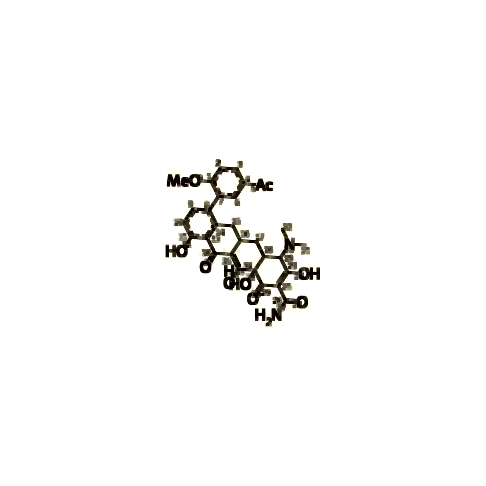 COc1ccc(C(C)=O)cc1-c1ccc(O)c2c1CC1CC3C(N(C)C)C(O)=C(C(N)=O)C(=O)C3(O)C(O)=C1C2=O